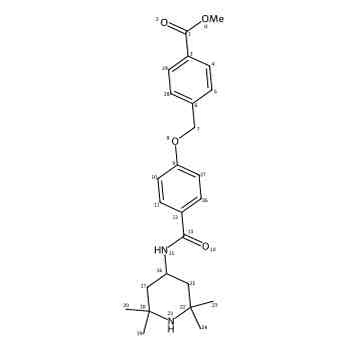 COC(=O)c1ccc(COc2ccc(C(=O)NC3CC(C)(C)NC(C)(C)C3)cc2)cc1